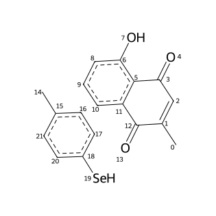 CC1=CC(=O)c2c(O)cccc2C1=O.Cc1ccc([SeH])cc1